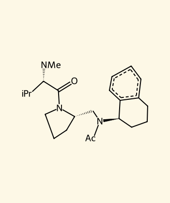 CN[C@H](C(=O)N1CCC[C@H]1CN(C(C)=O)[C@@H]1CCCc2ccccc21)C(C)C